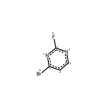 Fc1n[c]cc(Br)n1